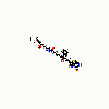 [CH2]C#CC(=O)CCCCCNC(=O)CCCCCN(C(=O)CCCC[C@@H]1SC[C@@H]2NC(=O)N[C@@H]21)c1ccccc1